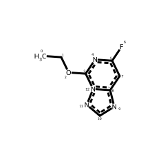 CCOc1nc(F)cc2ncnn12